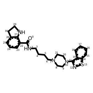 O=C(NCCCCN1CCN(c2nsc3ccccc23)CC1)c1cccc2c1NCC2